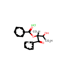 Cl.O=C(OC(C(=O)O)(C(=O)c1ccccc1)C(O)C(=O)O)c1ccccc1